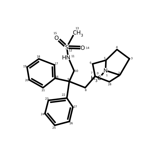 CN1C2CCC1CC(CC(CNS(C)(=O)=O)(c1ccccc1)c1ccccc1)C2